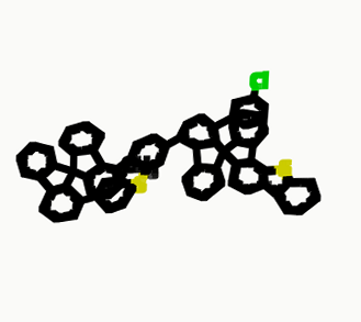 Cc1cccc(-c2cccc3c2C2(c4ccccc4-3)c3ccccc3-c3c2ccc2sc4cc(-c5ccc(-c6cccc(Cl)c6)c6c5-c5ccccc5C65c6ccccc6-c6c5ccc5c6sc6ccccc65)ccc4c32)c1